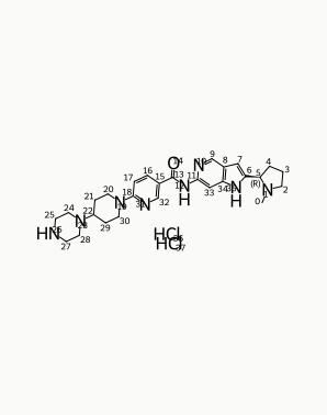 CN1CCC[C@@H]1c1cc2cnc(NC(=O)c3ccc(N4CCC(N5CCNCC5)CC4)nc3)cc2[nH]1.Cl.Cl